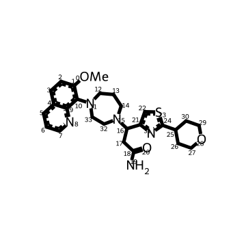 COc1ccc2cccnc2c1N1CCCN(C(CC(N)=O)c2csc(C3CCOCC3)n2)CC1